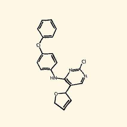 Clc1ncc(C2C=CCO2)c(Nc2ccc(Oc3ccccc3)cc2)n1